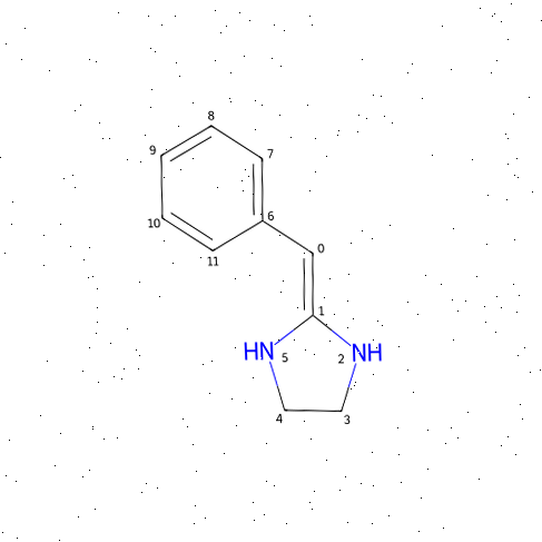 C(=C1NCCN1)c1ccccc1